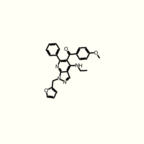 CCNc1c(C(=O)c2ccc(OC)cc2)c(-c2ccccc2)nc2c1cnn2Cc1ccco1